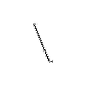 OCCCCCCCCCCCCCCCCCCCCCCNCCCCCCCCO